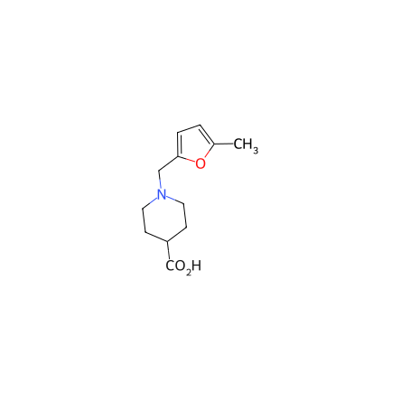 Cc1ccc(CN2CCC(C(=O)O)CC2)o1